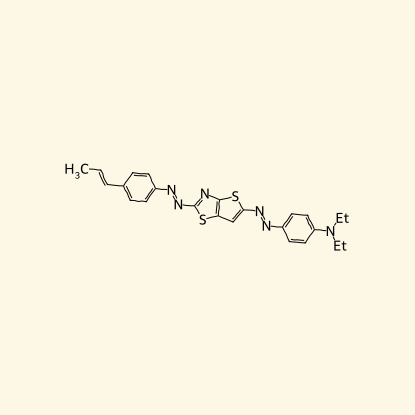 CC=Cc1ccc(N=Nc2nc3sc(N=Nc4ccc(N(CC)CC)cc4)cc3s2)cc1